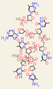 Cc1cn([C@H]2CC(OP(=O)(S)OC[C@H]3O[C@@H](n4cnc5c(N)ncnc54)CC3OP(=O)(S)OC[C@H]3O[C@@H](n4cc(C)c(=O)[nH]c4=O)CC3OP(=O)(S)OC[C@H]3O[C@@H](n4cc(C)c(=O)[nH]c4=O)CC3OP(=O)(S)OC[C@H]3O[C@@H](n4cc(C)c(=O)[nH]c4=O)CC3OP(=O)(S)OC[C@H]3O[C@@H](n4cc(C)c(N)nc4=O)CC3OP(=O)(S)OC[C@H]3O[C@@H](n4cc(C)c(=O)[nH]c4=O)CC3OP(=O)(O)S)[C@@H](C)O2)c(=O)nc1N